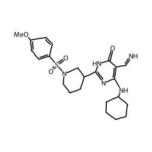 COc1ccc(S(=O)(=O)N2CCCC(c3nc(NC4CCCCC4)c(C=N)c(=O)[nH]3)C2)cc1